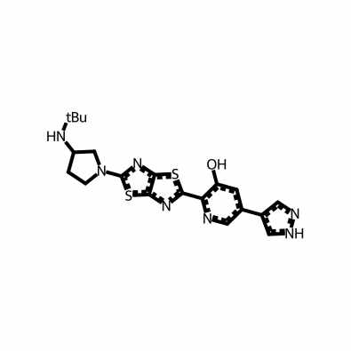 CC(C)(C)NC1CCN(c2nc3sc(-c4ncc(-c5cn[nH]c5)cc4O)nc3s2)C1